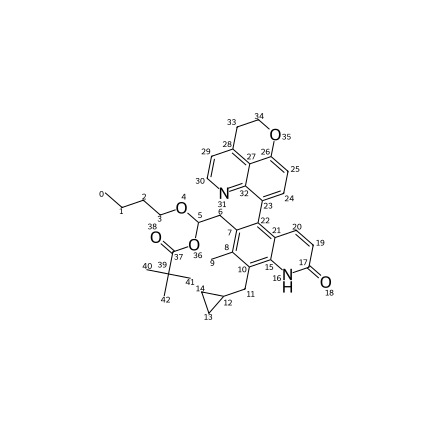 CCCCOC(Cc1c(C)c(CC2CC2)c2[nH]c(=O)ccc2c1-c1ccc2c3c(ccnc13)CCO2)OC(=O)C(C)(C)C